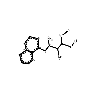 CCOC(OCC)C(O)C(N)Cc1cccc2ccccc12